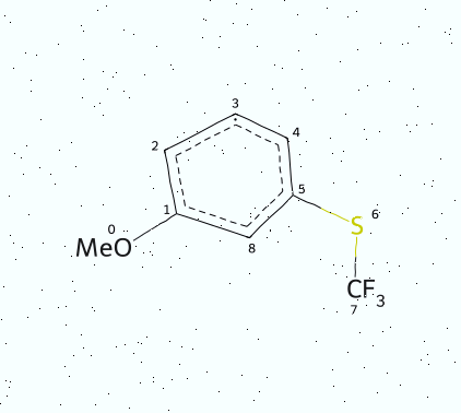 COc1c[c]cc(SC(F)(F)F)c1